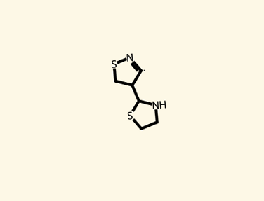 [C]1=NSCC1C1NCCS1